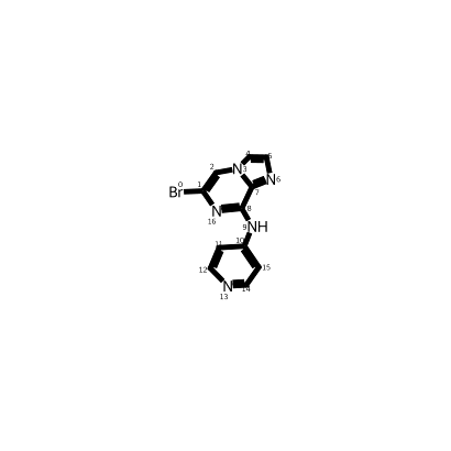 Brc1cn2ccnc2c(Nc2ccncc2)n1